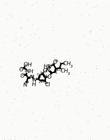 CCC(C)c1cc(Oc2c(Cl)cc(N/N=C(\C#N)C(=O)NC(=O)O)cc2Cl)n[nH]c1=O